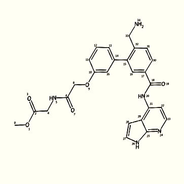 COC(=O)CNC(=O)COc1cccc(-c2cc(C(=O)Nc3ccnc4[nH]ccc34)ccc2CN)c1